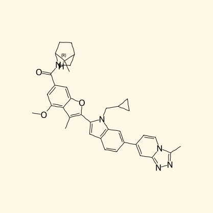 COc1cc(C(=O)N2CC3CCC2[C@@H]3C)cc2oc(-c3cc4ccc(-c5ccn6c(C)nnc6c5)cc4n3CC3CC3)c(C)c12